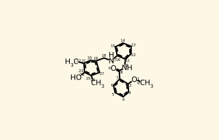 COc1ccccc1C(=O)Nc1[c]cccc1NCc1cc(C)c(O)c(C)c1